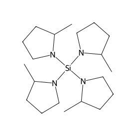 CC1CCCN1[Si](N1CCCC1C)(N1CCCC1C)N1CCCC1C